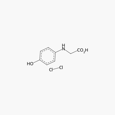 ClCl.O=C(O)CNc1ccc(O)cc1